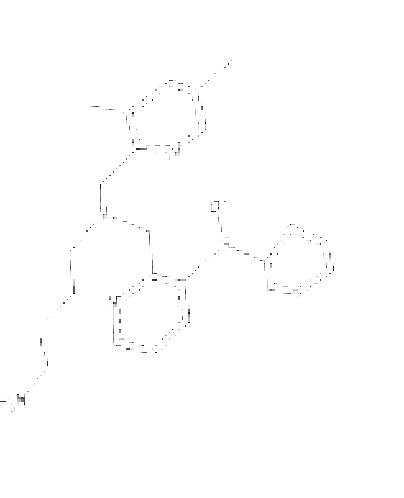 Cc1cnc(CN(CCCCN)Cc2ncccc2[S+]([O-])c2ccccc2)c(C)c1